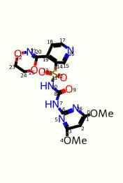 COc1cc(OC)nc(NC(=O)NS(=O)(=O)c2cnccc2C2=NOCCO2)n1